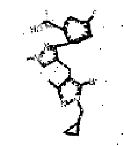 Cc1nn(CC2CC2)c(Br)c1Cc1cn(C)nc1-c1ccc(F)cc1[C@@H](C)O